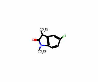 CCOC(=O)C1C(=O)N(C(=O)OCC)c2ccc(Cl)cc21